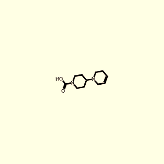 O=C(O)N1CCC(N2CC=CCC2)CC1